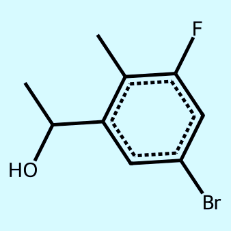 Cc1c(F)cc(Br)cc1C(C)O